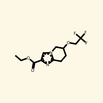 CCOC(=O)c1cn2c(n1)CCC(OCC(F)(F)F)C2